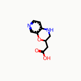 O=C(O)CC1CNc2ccncc2O1